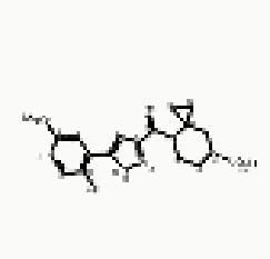 COc1cc(-c2cc(C(=O)N3CC[C@H](C(=O)O)CC34CC4)n[nH]2)c(F)cn1